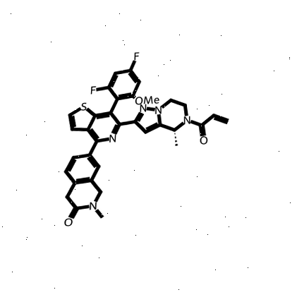 C=CC(=O)N1CCn2nc(-c3nc(-c4ccc5c(c4)CN(C)C(=O)C5)c4ccsc4c3-c3c(F)cc(F)cc3OC)cc2[C@H]1C